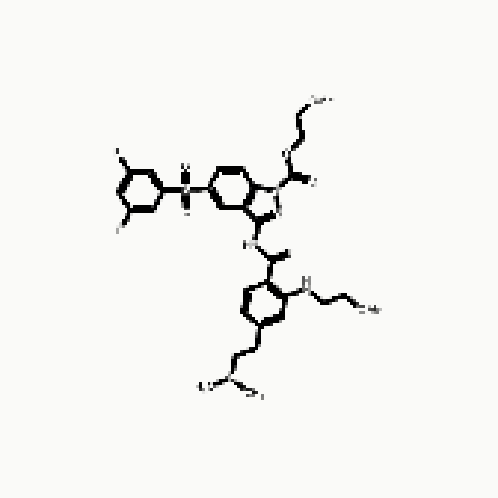 COCCNc1cc(CCN(C)C)ccc1C(=O)Nc1nn(C(=O)OCCOC)c2ccc(S(=O)(=O)c3cc(F)cc(F)c3)cc12